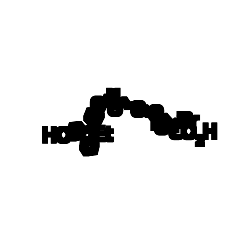 CCC(=C(c1ccc(O)cc1)c1ccc(OCCN(C)C(=O)CCCOCCOc2cc(C(C(=O)O)C(C)C)on2)cc1)c1ccccc1